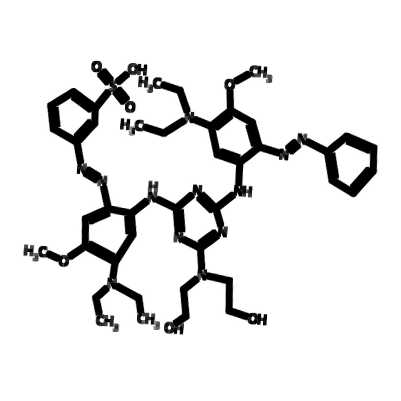 CCN(CC)c1cc(Nc2nc(Nc3cc(N(CC)CC)c(OC)cc3/N=N/c3cccc(S(=O)(=O)O)c3)nc(N(CCO)CCO)n2)c(/N=N/c2ccccc2)cc1OC